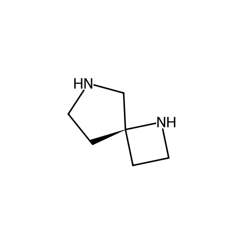 C1C[C@@]2(CCN2)CN1